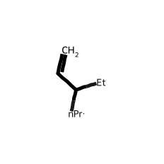 C=CC([CH]CC)CC